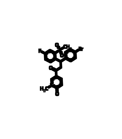 Cn1cc(C(=O)CC(c2ccc(Br)cc2)c2ccc(F)cc2S(C)(=O)=O)ccc1=O